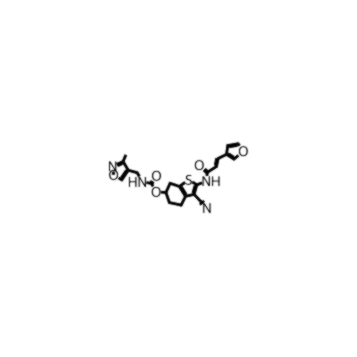 Cc1nocc1CNC(=O)OC1CCc2c(sc(NC(=O)C=Cc3ccoc3)c2C#N)C1